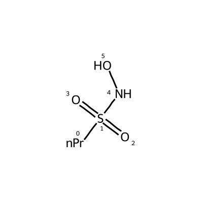 CCCS(=O)(=O)NO